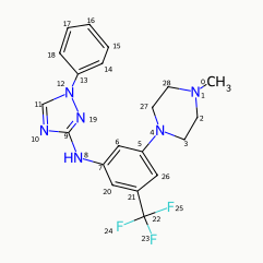 CN1CCN(c2cc(Nc3ncn(-c4ccccc4)n3)cc(C(F)(F)F)c2)CC1